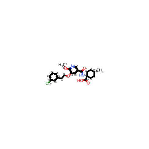 COc1ncc(C(=O)N[C@]2(C(=O)O)CC[C@H](C)CC2)cc1OCCc1cccc(Cl)c1